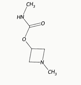 CNC(=O)OC1CN(C)C1